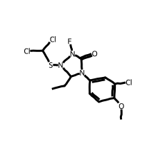 CCC1N(c2ccc(OC)c(Cl)c2)C(=O)N(F)N1SC(Cl)Cl